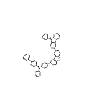 c1ccc(-c2ccc(N(c3ccccc3)c3ccc(-c4ccc5sc6ccc(-c7ccc8c(c7)c7ccccc7n8-c7ccccc7)cc6c5c4)cc3)cc2)cc1